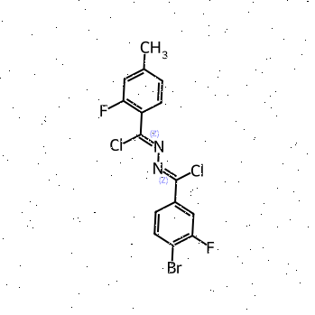 Cc1ccc(/C(Cl)=N/N=C(\Cl)c2ccc(Br)c(F)c2)c(F)c1